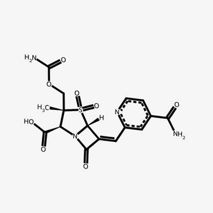 C[C@]1(COC(N)=O)[C@H](C(=O)O)N2C(=O)/C(=C/c3cc(C(N)=O)ccn3)[C@H]2S1(=O)=O